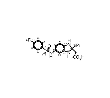 CC(C)C1(CC(=O)O)Nc2ccc(NS(=O)(=O)c3ccc(F)cc3)cc2N1